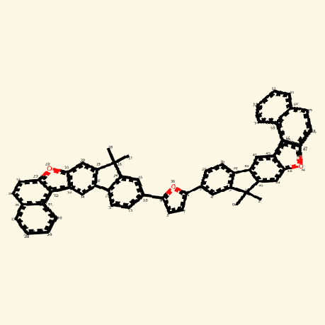 CC1(C)c2cc(-c3ccc(-c4ccc5c(c4)C(C)(C)c4cc6oc7ccc8ccccc8c7c6cc4-5)o3)ccc2-c2cc3c(cc21)oc1ccc2ccccc2c13